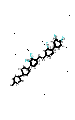 CC1CCC(C2CCC(c3ccc(CCc4ccc(-c5ccc(F)c(F)c5)c(F)c4)c(F)c3F)CC2)CC1